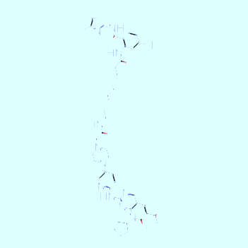 CC(=O)c1c(C)c2cnc(Nc3ccc(N4CCN(CC(=O)NCCOCCOCCC(=O)Nc5cc(Cl)ccc5C(=O)Nc5nc(C)c(C)s5)CC4)cn3)nc2n(C2CCCC2)c1=O